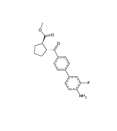 COC(=O)[C@@H]1CCC[C@H]1C(=O)c1ccc(-c2ccc(N)c(F)c2)cc1